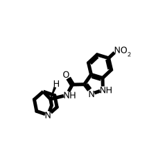 O=C(N[C@@H]1CN2CCC1CC2)c1n[nH]c2cc([N+](=O)[O-])ccc12